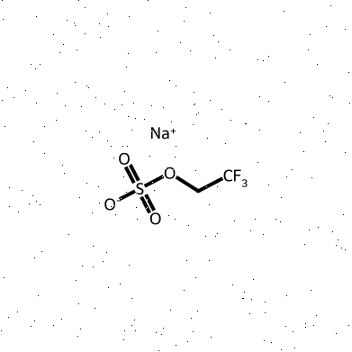 O=S(=O)([O-])OCC(F)(F)F.[Na+]